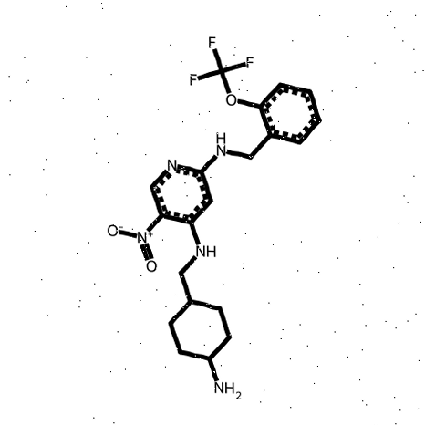 NC1CCC(CNc2cc(NCc3ccccc3OC(F)(F)F)ncc2[N+](=O)[O-])CC1